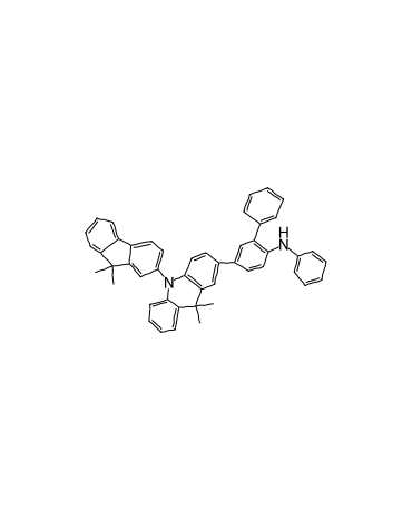 CC1(C)c2ccccc2-c2ccc(N3c4ccccc4C(C)(C)c4cc(-c5ccc(Nc6ccccc6)c(-c6ccccc6)c5)ccc43)cc21